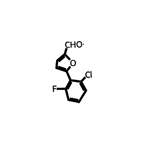 O=[C]c1ccc(-c2c(F)cccc2Cl)o1